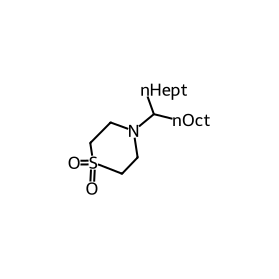 CCCCCCCCC(CCCCCCC)N1CCS(=O)(=O)CC1